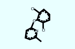 Cc1cccc(Oc2c(Cl)cccc2Cl)n1